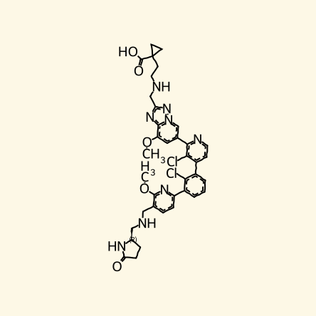 COc1nc(-c2cccc(-c3ccnc(-c4cc(OC)c5nc(CNCCC6(C(=O)O)CC6)nn5c4)c3Cl)c2Cl)ccc1CNC[C@H]1CCC(=O)N1